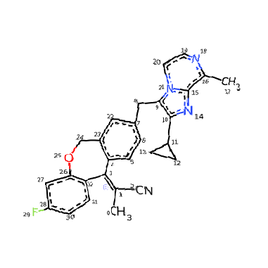 C/C(C#N)=C1/c2ccc(Cc3c(C4CC4)nc4c(C)nccn34)cc2COc2cc(F)ccc21